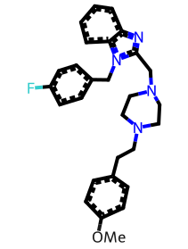 COc1ccc(CCN2CCN(Cc3nc4ccccc4n3Cc3ccc(F)cc3)CC2)cc1